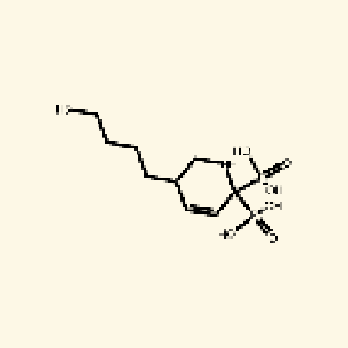 O=P(O)(O)C1(P(=O)(O)O)C=CC(CCCCS)CN1